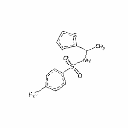 Cc1ccc(S(=O)(=O)NC(C)c2cccs2)cc1